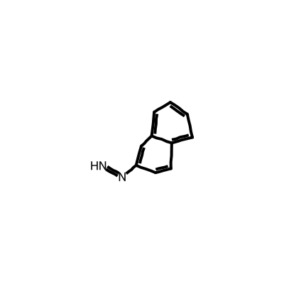 N=Nc1ccc2ccccc2c1